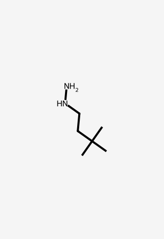 CC(C)(C)CCNN